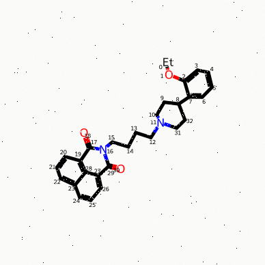 CCOc1ccccc1C1CCN(CCCCN2C(=O)c3cccc4cccc(c34)C2=O)CC1